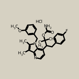 COc1cccc(Cn2c(C)c(C)c3nccc(C(Cc4ccc(F)cc4)C(C)(C)OC(N)=O)c32)c1.Cl